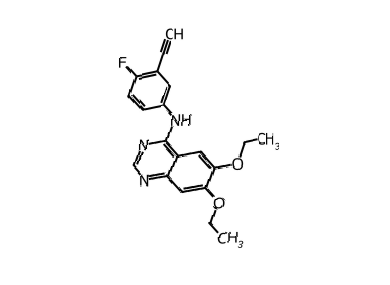 C#Cc1cc(Nc2ncnc3cc(OCC)c(OCC)cc23)ccc1F